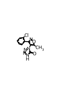 Cc1onc(-c2ccccc2Cl)c1-n1nn[nH]c1=O